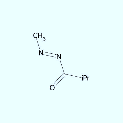 CN=NC(=O)C(C)C